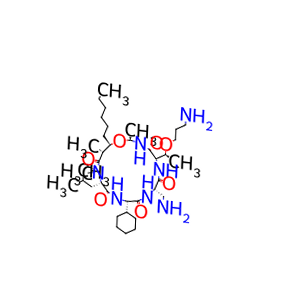 CCCCCC[C@H]1O[C@@H](C)NC(=O)[C@H]([C@H](C)OCCCN)NC(=O)[C@H](CN)NC(=O)[C@H](C2CCCCC2)NC(=O)[C@H](CC(C)C)N(C)C(=O)[C@@H]1C